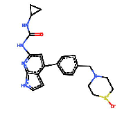 O=C(Nc1cc(-c2ccc(CN3CC[S+]([O-])CC3)cc2)c2cc[nH]c2n1)NC1CC1